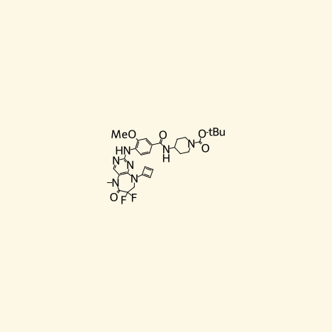 COc1cc(C(=O)NC2CCN(C(=O)OC(C)(C)C)CC2)ccc1Nc1ncc2c(n1)N(C1=CC=C1)CC(F)(F)C(=O)N2C